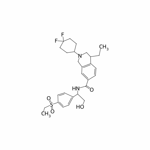 CCC1CN(C2CCC(F)(F)CC2)Cc2cc(C(=O)NC(CO)c3ccc(S(=O)(=O)CC)cc3)ccc21